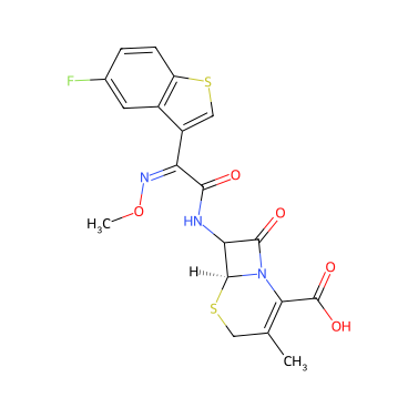 CON=C(C(=O)NC1C(=O)N2C(C(=O)O)=C(C)CS[C@@H]12)c1csc2ccc(F)cc12